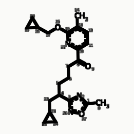 Cc1nc(C(CCCC(=O)c2ccc(C)c(OCC3CC3)n2)CC2CC2)no1